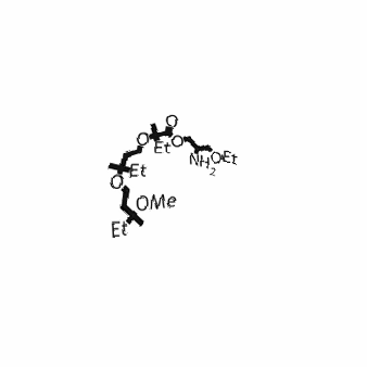 CCOCC(N)COC(=O)C(C)(CC)OCCC(C)(CC)OCCC(C)(CC)OC